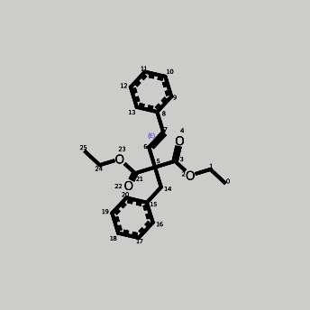 CCOC(=O)C(/C=C/c1ccccc1)(Cc1ccccc1)C(=O)OCC